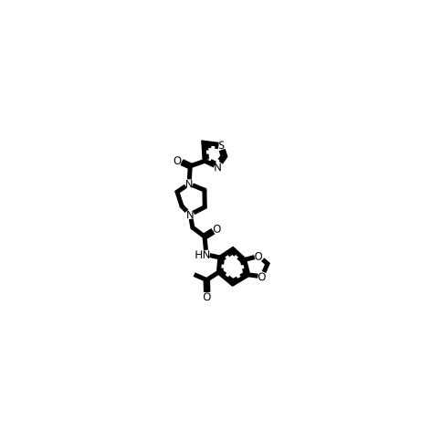 CC(=O)c1cc2c(cc1NC(=O)CN1CCN(C(=O)c3cscn3)CC1)OCO2